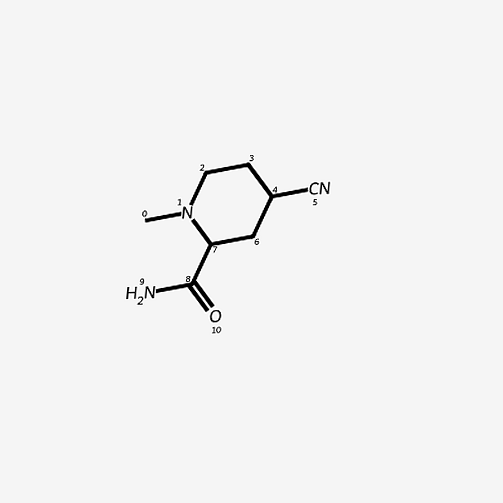 CN1CC[C](C#N)CC1C(N)=O